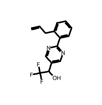 C=CCc1ccccc1-c1ncc(C(O)C(F)(F)F)cn1